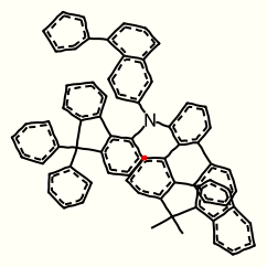 CC1(C)c2cccc(-c3c(-c4ccccc4)cccc3N(c3ccc4c(-c5ccccc5)cccc4c3)c3cccc4c3-c3ccccc3C4(c3ccccc3)c3ccccc3)c2-c2ccc3ccccc3c21